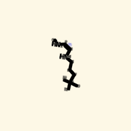 CN/C=C\NCCCC(C)(C)C